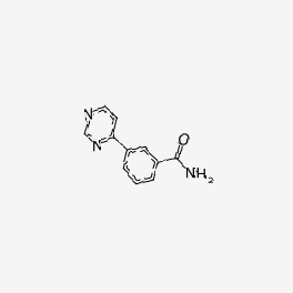 NC(=O)c1cccc(-c2ccncn2)c1